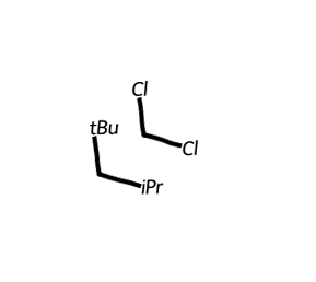 CC(C)CC(C)(C)C.ClCCl